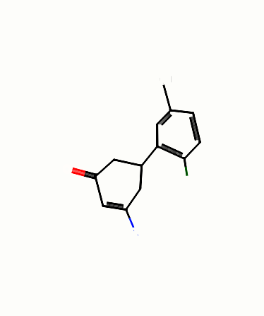 Cc1ccc(Cl)c(C2CC(=O)C=C(N)C2)c1